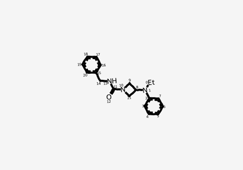 CCN(c1ccccc1)C1CN(C(=O)NCc2ccccc2)C1